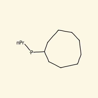 CCC[P]C1CCCCCCCC1